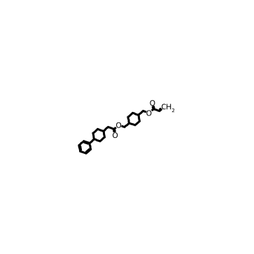 C=CC(=O)OCC1CCC(COC(=O)CC2CCC(c3ccccc3)CC2)CC1